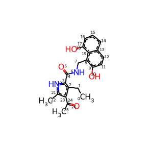 CCc1c(C(=O)NCc2c(O)ccc3cccc(O)c23)[nH]c(C)c1C(C)=O